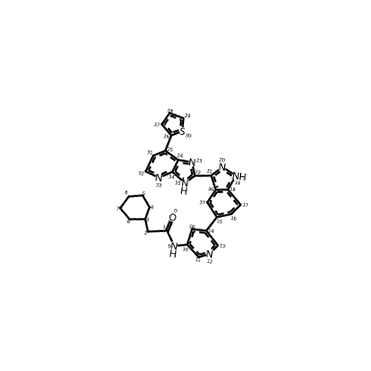 O=C(CC1CCCCC1)Nc1cncc(-c2ccc3[nH]nc(-c4nc5c(-c6cccs6)ccnc5[nH]4)c3c2)c1